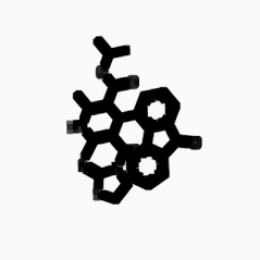 CC1=C(C(=O)OC(C)C)C(c2cccc3c2-c2ccccc2C3=O)C(C(=O)N2CCSC2=S)=C(C)N1